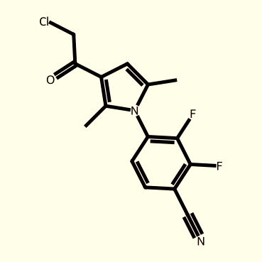 Cc1cc(C(=O)CCl)c(C)n1-c1ccc(C#N)c(F)c1F